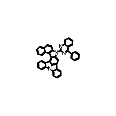 c1ccc(-c2nc(-n3c4ccc5ccccc5c4c4c5c6ccccc6n6c7ccccc7c(cc43)c56)nc3ccccc23)cc1